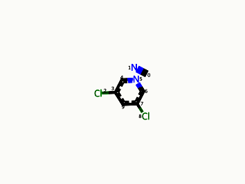 C#N.Clc1cncc(Cl)c1